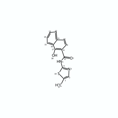 Cc1cnc(NC(=O)c2ccc3ccccc3c2O)s1